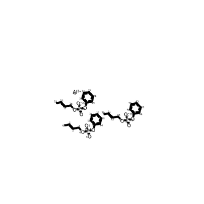 CC=CCOP(=O)([O-])Oc1ccccc1.CC=CCOP(=O)([O-])Oc1ccccc1.CC=CCOP(=O)([O-])Oc1ccccc1.[Al+3]